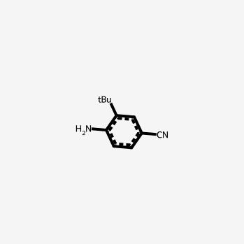 CC(C)(C)c1cc(C#N)ccc1N